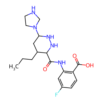 CCCC1CC(N2CCNC2)NNC1C(=O)Nc1cc(F)ccc1C(=O)O